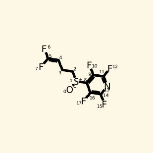 [O-][S+](CCC=C(F)F)c1c(F)c(F)nc(F)c1F